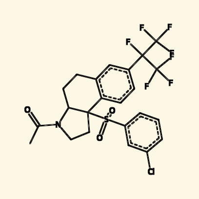 CC(=O)N1CCC2(S(=O)(=O)c3cccc(Cl)c3)c3ccc(C(F)(C(F)(F)F)C(F)(F)F)cc3CCC12